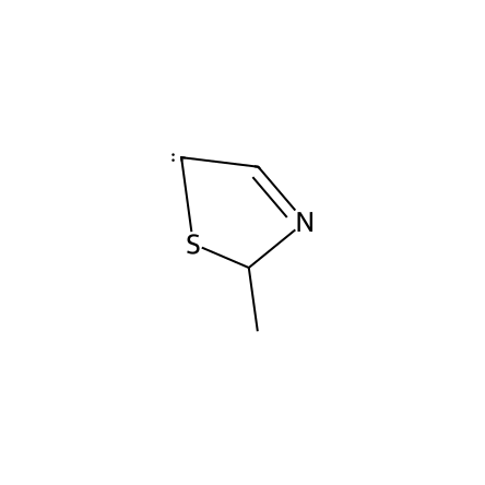 CC1N=C[C]S1